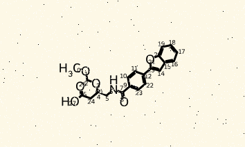 COCO[C@@H](CNC(=O)c1ccc(-c2cc3ccccc3o2)cc1)CC(=O)O